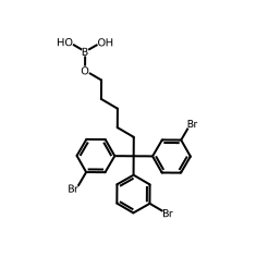 OB(O)OCCCCCC(c1cccc(Br)c1)(c1cccc(Br)c1)c1cccc(Br)c1